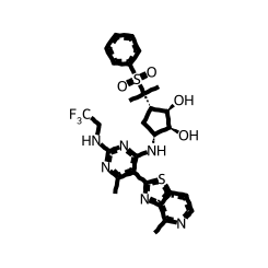 Cc1nc(NCC(F)(F)F)nc(N[C@@H]2C[C@H](C(C)(C)S(=O)(=O)c3ccccc3)[C@@H](O)[C@H]2O)c1-c1nc2c(C)nccc2s1